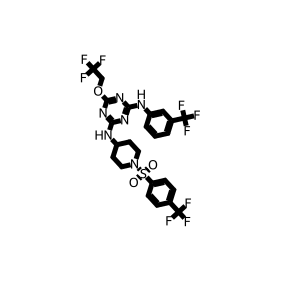 O=S(=O)(c1ccc(C(F)(F)F)cc1)N1CCC(Nc2nc(Nc3cccc(C(F)(F)F)c3)nc(OCC(F)(F)F)n2)CC1